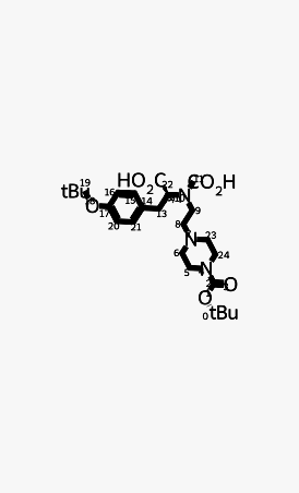 CC(C)(C)OC(=O)N1CCN(CCN(C(=O)O)[C@@H](Cc2ccc(OC(C)(C)C)cc2)C(=O)O)CC1